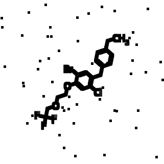 CCc1ccc(Cc2cc(Br)c(OCCOCC(F)(F)F)cc2Cl)cc1